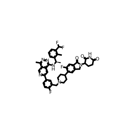 Cc1c(C(F)F)cccc1[C@@H](C)Nc1nnc(C)c2cnc(-c3ccc(F)c(CN4CCC(c5cc6c(cc5F)C(=O)N(C5CCC(=O)NC5=O)C6)CC4)c3)cc12